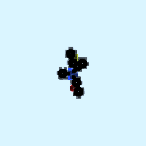 c1ccc(-c2nc(-c3ccc4c(c3)oc3ccccc34)nc(-c3cc4ccccc4c4c3ccc3c5ccccc5sc34)n2)cc1